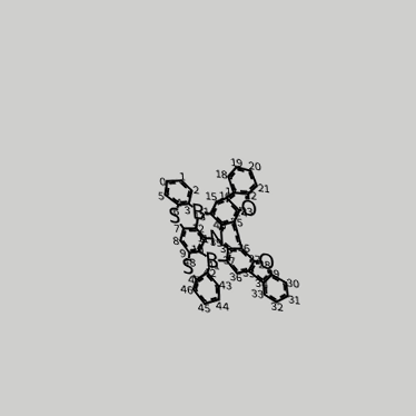 c1ccc2c(c1)Sc1cc3c4c5c1B2c1cc2c6ccccc6oc2c2c6c7oc8ccccc8c7cc(c6n-5c12)B4c1ccccc1S3